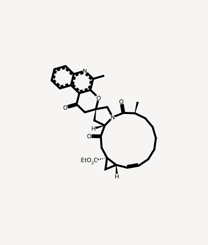 CCOC(=O)[C@]12CC(=O)[C@@H]3C[C@]4(CC(=O)c5c(c(C)nc6ccccc56)O4)CN3C(=O)[C@@H](C)CCCCC/C=C\[C@@H]1C2